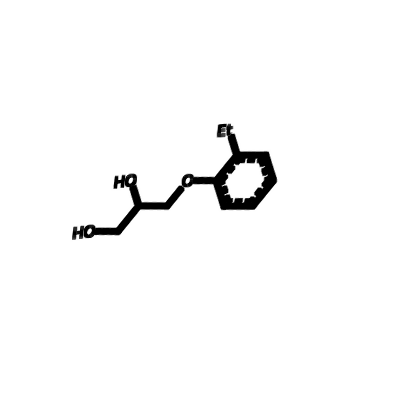 CCc1ccccc1OCC(O)CO